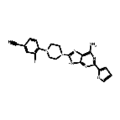 N#Cc1ccc(N2CCN(c3nc4c(N)nc(-c5ccco5)nc4[nH]3)CC2)c(F)c1